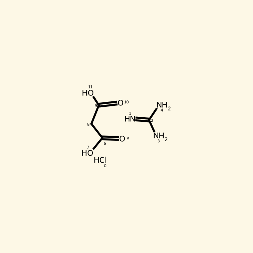 Cl.N=C(N)N.O=C(O)CC(=O)O